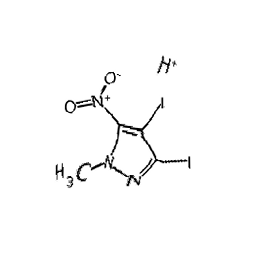 Cn1nc(I)c(I)c1[N+](=O)[O-].[H+]